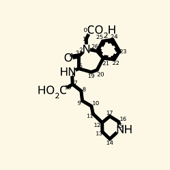 O=C(O)CN1C(=O)C(NC(CCCCC2CCNCC2)C(=O)O)CCc2ccccc21